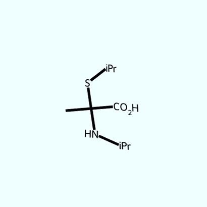 CC(C)NC(C)(SC(C)C)C(=O)O